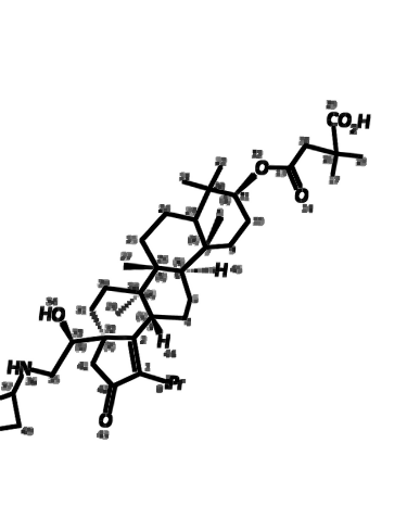 CC(C)C1=C2[C@H]3CC[C@@H]4[C@@]5(C)CC[C@H](OC(=O)CC(C)(C)C(=O)O)C(C)(C)C5CC[C@@]4(C)[C@]3(C)CC[C@@]2([C@H](O)CNC2CCC2)CC1=O